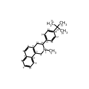 CN1Cc2c(ccc3ccccc23)CC1c1ccc(C(C)(C)C)cc1